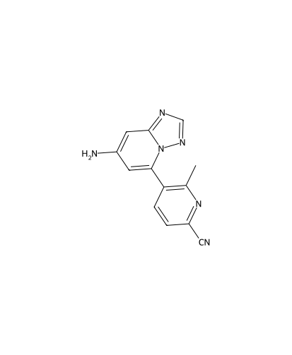 Cc1nc(C#N)ccc1-c1cc(N)cc2ncnn12